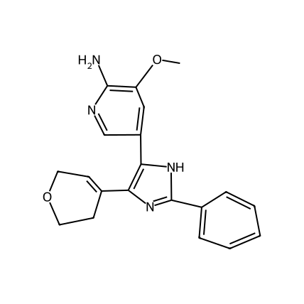 COc1cc(-c2[nH]c(-c3ccccc3)nc2C2=CCOCC2)cnc1N